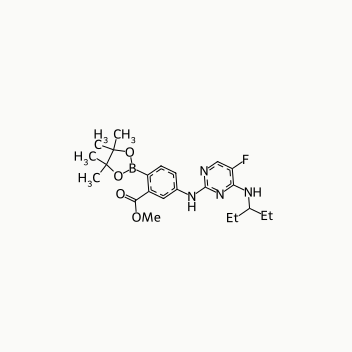 CCC(CC)Nc1nc(Nc2ccc(B3OC(C)(C)C(C)(C)O3)c(C(=O)OC)c2)ncc1F